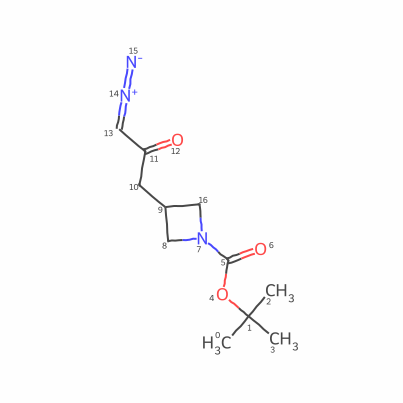 CC(C)(C)OC(=O)N1CC(CC(=O)C=[N+]=[N-])C1